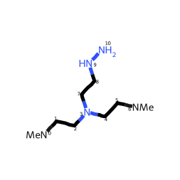 CNCCN(CCNC)CCNN